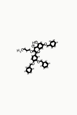 CCCCOc1c(-c2ccc(OCc3ccccc3)c(OCc3ccccc3)c2)oc2cc(OCc3ccccc3)cc(O)c2c1=O